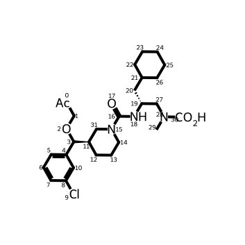 CC(=O)COC(c1cccc(Cl)c1)[C@@H]1CCCN(C(=O)N[C@H](CC2CCCCC2)CN(C)C(=O)O)C1